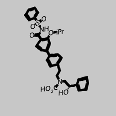 CC(C)Oc1cc(-c2ccc(CCN(C[C@@H](O)c3ccccc3)C(=O)O)cc2)ccc1C(=O)NS(=O)(=O)c1ccccc1